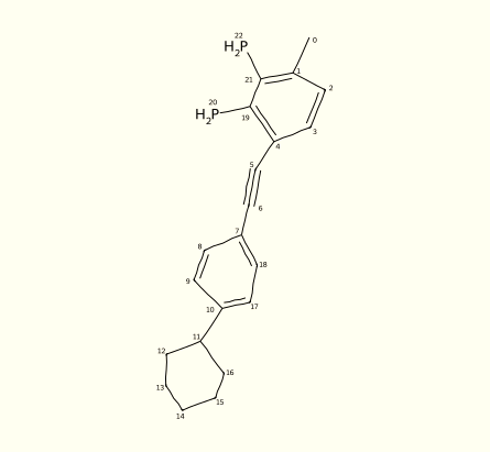 Cc1ccc(C#Cc2ccc(C3CCCCC3)cc2)c(P)c1P